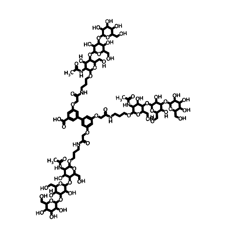 CC(=O)NC1C(OCCCNC(=O)COc2cc(OCC(=O)NCCCOC3OC(CO)C(OC4OC(CO)C(O)C(OC5OC(CO)C(O)C(O)C5O)C4O)C(O)C3NC(C)=O)cc(-c3cc(OCC(=O)NCCCOC4OC(CO)C(OC5OC(CO)C(O)C(OC6OC(CO)C(O)C(O)C6O)C5O)C(O)C4NC(C)=O)cc(C(=O)O)c3)c2)OC(CO)C(OC2OC(CO)C(O)C(OC3OC(CO)C(O)C(O)C3O)C2O)C1O